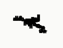 COC1(C)CCC(CNc2ccc(S(=O)(=O)NC(=O)c3ccc(N4CCC5(CC4)CC(N4CCC[C@H]4c4ccccc4C(C)C)C5)cc3N3c4cc5cc[nH]c5nc4O[C@H]4COCC[C@@H]43)cc2[N+](=O)[O-])CC1